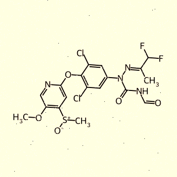 COc1cnc(Oc2c(Cl)cc(N(/N=C(\C)C(F)F)C(=O)NC=O)cc2Cl)cc1[S+](C)[O-]